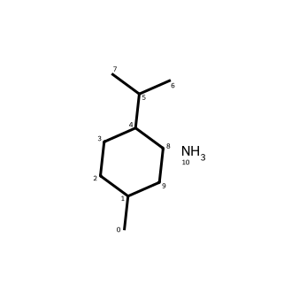 CC1CCC(C(C)C)CC1.N